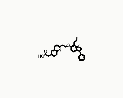 CCCc1c(OCCc2ccc3cc(CC(=O)O)ccc3n2)ccc2c(-c3ccccc3)coc12